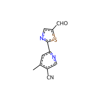 Cc1cc(-c2ncc(C=O)s2)ncc1C#N